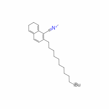 CCC(C)CCCCCCCCCCc1ccc2c(c1C#[N+]C)=CCCC=2